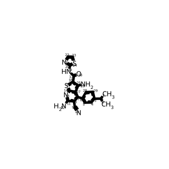 CC(C)c1ccc(-c2c(C#N)c(N)nc3sc(C(=O)Nc4nccs4)c(N)c23)cc1